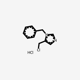 Cl.ClCc1cncn1Cc1ccccc1